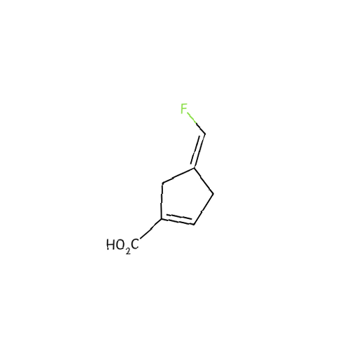 O=C(O)C1=CC/C(=C/F)C1